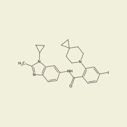 Cc1nc2ccc(NC(=O)c3ccc(I)cc3N3CCC4(CC3)CC4)cc2n1C1CC1